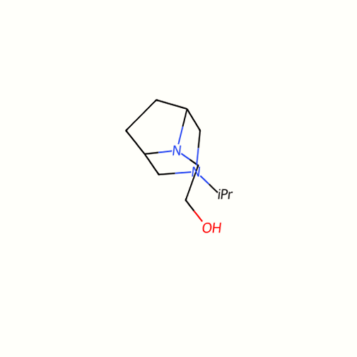 CC(C)N1CC2CCC(C1)N2CCO